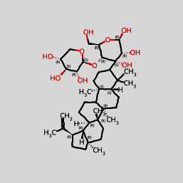 C=C(C)[C@@H]1CC[C@]2(C)CC[C@]3(C)[C@H](CCC4[C@@]5(C)CCC([C@@]6(O)[C@H](O[C@@H]7OC[C@@H](O)[C@H](O)[C@H]7O)[C@@H](CO)O[C@@H](O)[C@@H]6O)C(C)(C)[C@@H]5CC[C@]43C)[C@@H]12